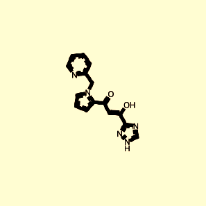 O=C(C=C(O)c1nc[nH]n1)c1cccn1Cc1ccccn1